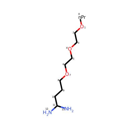 CCCOCCOCCOCCCC(N)N